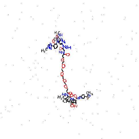 CNC(=O)c1nnc(NC(=O)CNC(=O)CCOCCOCCOCCOCCOCCC(=O)N[C@H](C(=O)N2C[C@H](O)C[C@H]2C(=O)NCc2ccc(-c3scnc3C)cc2)C(C)(C)C)cc1Nc1cccc(-c2ncn(C)n2)c1OC